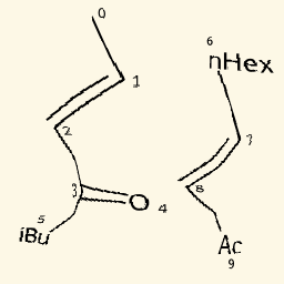 C/C=C/C(=O)C(C)CC.CCCCCC/C=C/C(C)=O